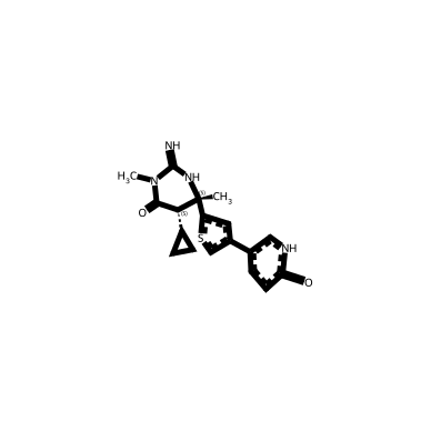 CN1C(=N)N[C@](C)(c2cc(-c3ccc(=O)[nH]c3)cs2)[C@H](C2CC2)C1=O